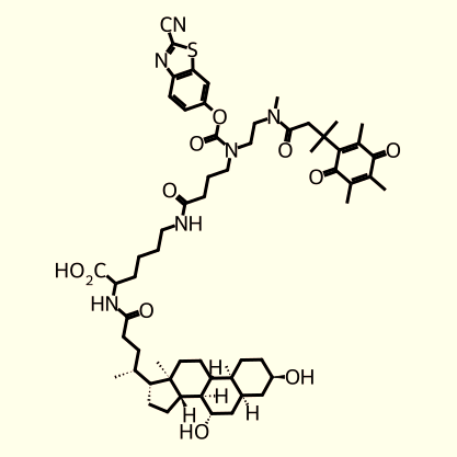 CC1=C(C)C(=O)C(C(C)(C)CC(=O)N(C)CCN(CCCC(=O)NCCCCC(NC(=O)CC[C@@H](C)[C@H]2CC[C@H]3[C@@H]4[C@@H](O)C[C@@H]5C[C@H](O)CC[C@]5(C)[C@H]4CC[C@]23C)C(=O)O)C(=O)Oc2ccc3nc(C#N)sc3c2)=C(C)C1=O